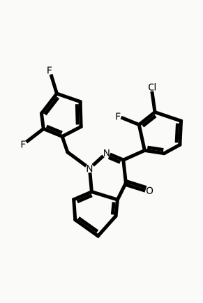 O=c1c(-c2cccc(Cl)c2F)nn(Cc2ccc(F)cc2F)c2ccccc12